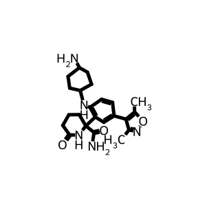 Cc1noc(C)c1-c1ccc(NC2CCC(N)CC2)c(C2(C(N)=O)CCCC(=O)N2)c1